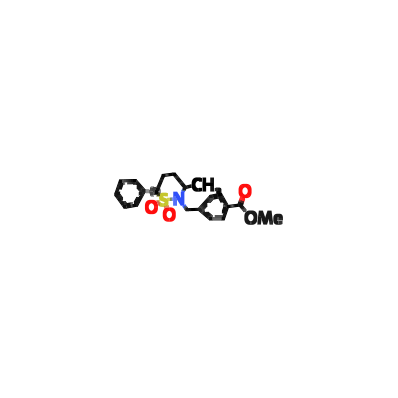 COC(=O)c1ccc(CN2C(C)CC[C@@H](c3ccccc3)S2(=O)=O)cc1